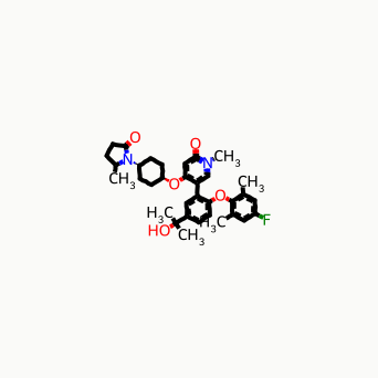 Cc1cc(F)cc(C)c1Oc1ccc(C(C)(C)O)cc1-c1cn(C)c(=O)cc1O[C@H]1CC[C@H](N2C(=O)CCC2C)CC1